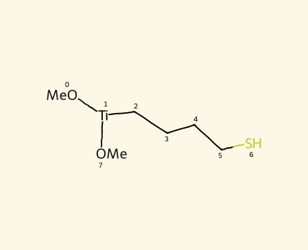 C[O][Ti]([CH2]CCCS)[O]C